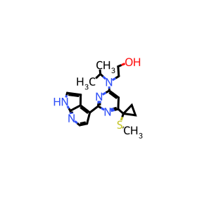 CSC1(c2cc(N(CCO)C(C)C)nc(-c3ccnc4[nH]ccc34)n2)CC1